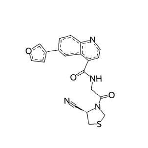 N#C[C@@H]1CSCN1C(=O)CNC(=O)c1ccnc2ccc(-c3ccoc3)cc12